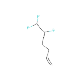 [CH]=CCCC(F)C(F)F